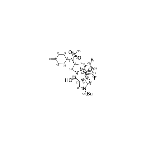 C=C1CCC(N([C@H]2C[C@@H](C(=O)N(C)C)N(C(O)[C@@H]3CN(C(C)(C)C)C[C@H]3c3ccc(F)cc3F)C2)S(C)(=O)=O)CC1